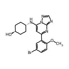 COc1ccc(Br)cc1-c1cc(N[C@H]2CC[C@H](O)CC2)n2ncnc2n1